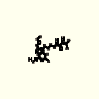 CCOCc1nc2c(N)nc(C)cc2n1CCCCNC(=O)NC(C)C